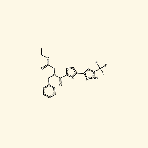 CCOC(=O)CN(Cc1ccccc1)C(=O)c1ccc(-c2cc(C(F)(F)F)[nH]n2)s1